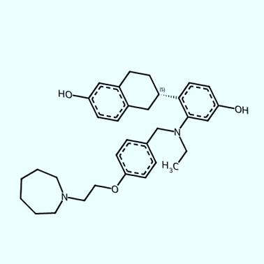 CCN(Cc1ccc(OCCN2CCCCCC2)cc1)c1cc(O)ccc1[C@H]1CCc2cc(O)ccc2C1